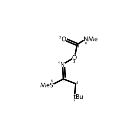 CNC(=O)ON=C(CC(C)(C)C)SC